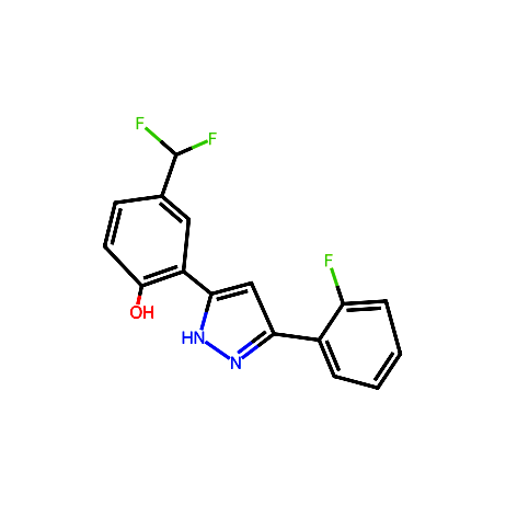 Oc1ccc(C(F)F)cc1-c1cc(-c2ccccc2F)n[nH]1